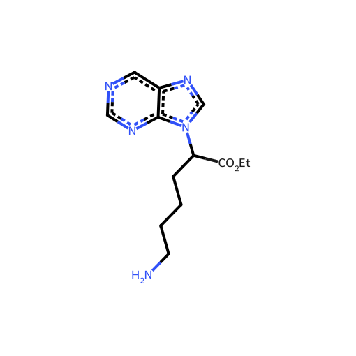 CCOC(=O)C(CCCCN)n1cnc2cncnc21